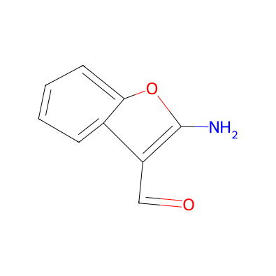 Nc1oc2ccccc2c1C=O